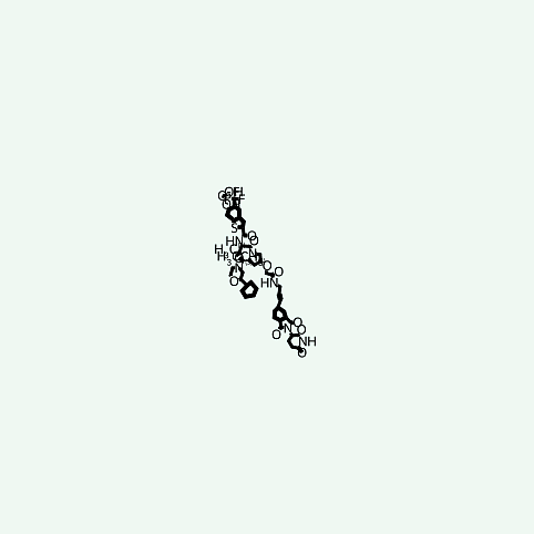 CC(C)(C)[C@H](NC(=O)c1cc2cc(C(F)(F)P(=O)(O)O)ccc2s1)C(=O)N1C[C@@H](OCC(=O)NCC#Cc2ccc3c(c2)C(=O)N(C2CCC(=O)NC2=O)C3=O)C[C@H]1C(=O)N1CCOC(c2ccccc2)C1